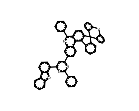 c1ccc(-c2nc(-c3ccc4c(c3)nc(-c3ccccc3)c3ccc5c(c34)-c3ccccc3C53c4ccccc4Oc4ccccc43)cc(-c3cccc4c3oc3ccccc34)n2)cc1